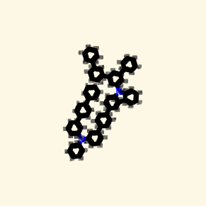 c1ccc(-c2ccc(-c3cccc(N(c4ccccc4)c4cccc(-c5ccc(-c6ccc7c(c6)c6ccccc6n7-c6cc(-c7ccccc7)cc(-c7cccc(-c8ccccc8)c7)c6)cc5)c4)c3)cc2)cc1